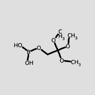 COC(COB(O)O)(OC)OC